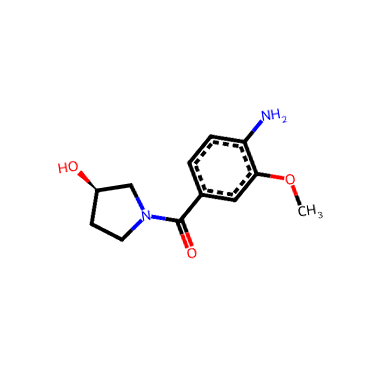 COc1cc(C(=O)N2CC[C@@H](O)C2)ccc1N